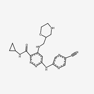 N#Cc1cnc(Nc2cc(NCC3CNCCO3)c(C(=O)NC3CC3)nn2)cn1